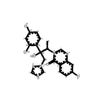 CC(n1cnc2cc(Cl)ccc2c1=O)C(O)(Cn1cncn1)c1ccc(Cl)cc1Cl